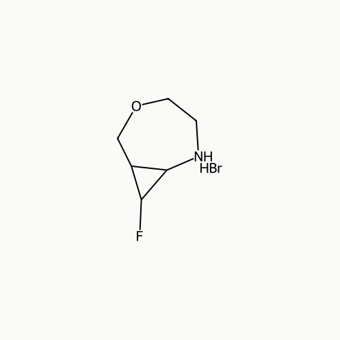 Br.FC1C2COCCNC12